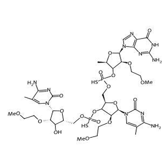 COCCO[C@H]1C(O)[C@@H](COP(=O)(S)OC2[C@@H](COP(=O)(S)OC3[C@@H](C)O[C@@H](n4cnc5c(=O)[nH]c(N)nc54)[C@H]3OCCOC)O[C@@H](n3cc(C)c(N)nc3=O)[C@H]2OCCOC)O[C@H]1n1cc(C)c(N)nc1=O